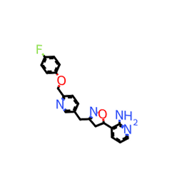 Nc1ncccc1C1CC(Cc2ccc(COc3ccc(F)cc3)nc2)=NO1